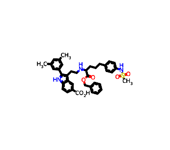 Cc1cc(C)cc(-c2[nH]c3ccc(C(=O)O)cc3c2CCNC(CCCc2ccc(NS(C)(=O)=O)cc2)C(=O)OCc2ccccc2)c1